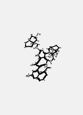 CCc1cccc2cc(O)cc(-c3nc4c5c(nc(OC[C@@]67CCCN6C[C@H](F)C7)nc5c3F)N3CC5CC[C@H](N5)[C@@H]3CO4)c12